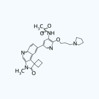 CN1C(=O)C2(CCC2)c2c1cnc1ccc(-c3cnc(OCCCN4CCCC4)c(NS(C)(=O)=O)c3)cc21